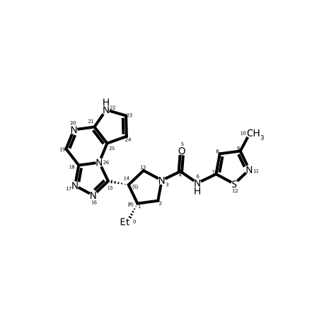 CC[C@H]1CN(C(=O)Nc2cc(C)ns2)C[C@H]1c1nnc2cnc3[nH]ccc3n12